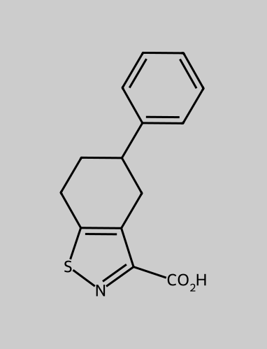 O=C(O)c1nsc2c1CC(c1ccccc1)CC2